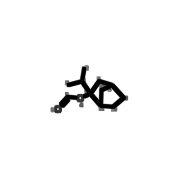 CC(C)C1(OC=O)CC2CCC1C2